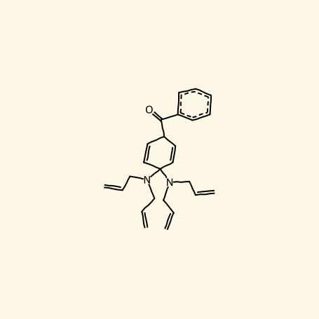 C=CCN(CC=C)C1(N(CC=C)CC=C)C=CC(C(=O)c2ccccc2)C=C1